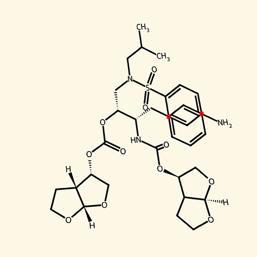 CC(C)CN(C[C@@H](OC(=O)O[C@@H]1CO[C@@H]2OCC[C@@H]21)[C@H](Cc1ccccc1)NC(=O)O[C@H]1CO[C@H]2OCCC21)S(=O)(=O)c1ccc(N)cc1